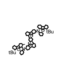 Cc1ccc2c(oc3c(C(C)(C)C)cccc32)c1N(c1ccccc1)c1ccc2c3cccc4c5cc6c(cc5n(c2c1)c34)c1cccc2c3ccc(N(c4ccccc4)c4cccc5c4oc4c(C(C)(C)C)cccc45)cc3n6c21